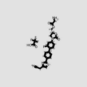 N#CCc1csc(-c2ccc(-c3ccc(N4C[C@H](COC(=O)CN)OC4=O)cc3F)cc2)n1.O=C(O)C(F)(F)F